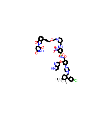 CC1(C)CCC(CN2CCN(c3ccc(C(=O)NS(=O)(=O)c4ccc(NCC5CCCN(CCOCC#Cc6cccc7c6CN(C6CCC(=O)NC6=O)C7=O)C5)c([N+](=O)[O-])c4)c(Oc4cnc5[nH]ccc5c4)c3)CC2)=C(c2ccc(Cl)cc2)C1